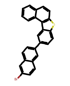 Brc1ccc2cc(-c3ccc4sc5ccc6ccccc6c5c4c3)ccc2c1